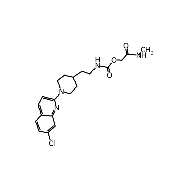 CNC(=O)COC(=O)NCCC1CCN(c2ccc3ccc(Cl)cc3n2)CC1